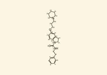 O=C(NCCc1ccccc1)N1CCc2cc(OCCCN3CCCCC3)ccc21